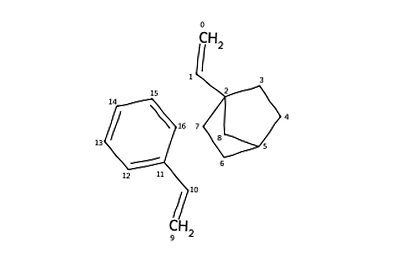 C=CC12CCC(CC1)C2.C=Cc1ccccc1